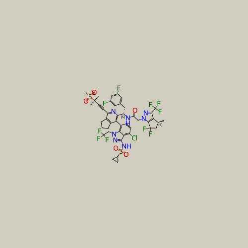 C[C@H]1CC(F)(F)c2c1c(C(F)(F)F)nn2CC(=O)N[C@@H](Cc1cc(F)cc(F)c1)c1nc(C#CC(C)(C)S(C)(=O)=O)c2c(c1-c1ccc(Cl)c3c(NS(=O)(=O)C4CC4)nn(CC(F)(F)F)c13)CCC2